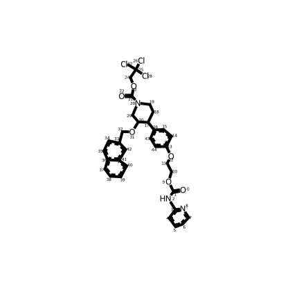 O=C(Nc1ccccn1)OCCOc1ccc(C2CCN(C(=O)OCC(Cl)(Cl)Cl)CC2OCc2ccc3ccccc3c2)cc1